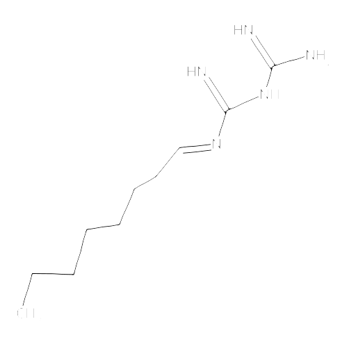 CCCCCCCC=NC(=N)NC(=N)N